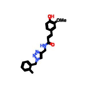 COc1cc(/C=C/C(=O)NCc2cn(Cc3ccccc3C)nn2)ccc1O